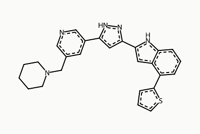 c1csc(-c2cccc3[nH]c(-c4cc(-c5cncc(CN6CCCCC6)c5)[nH]n4)cc23)c1